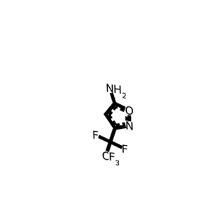 Nc1cc(C(F)(F)C(F)(F)F)no1